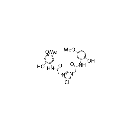 COc1ccc(O)c(NC(=O)Cn2cc[n+](CC(=O)Nc3cc(OC)ccc3O)c2)c1.[Cl-]